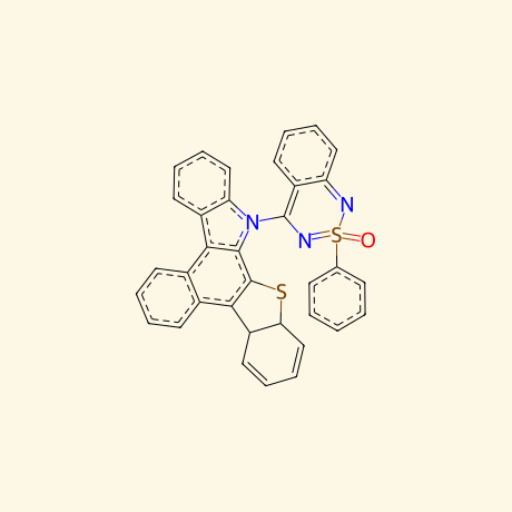 O=S1(c2ccccc2)=NC(n2c3ccccc3c3c4ccccc4c4c(c32)SC2C=CC=CC42)=c2ccccc2=N1